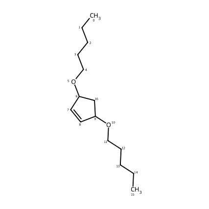 CCCCCOC1C=CC(OCCCCC)C1